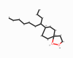 CCCCCCC(CCC)C1CCC2(CCOO2)CC1